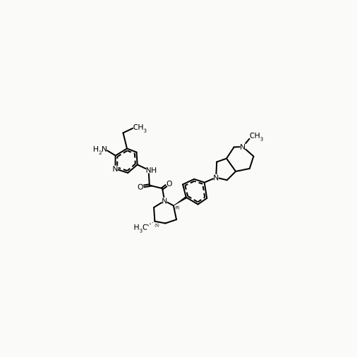 CCc1cc(NC(=O)C(=O)N2C[C@@H](C)CC[C@@H]2c2ccc(N3CC4CCN(C)CC4C3)cc2)cnc1N